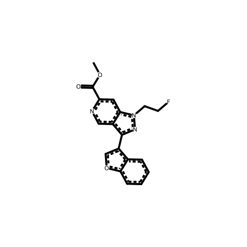 COC(=O)c1cc2c(cn1)c(-c1coc3ccccc13)nn2CCF